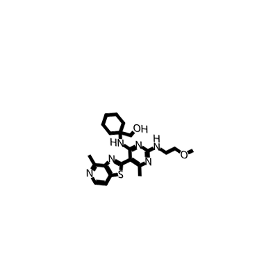 COCCNc1nc(C)c(-c2nc3c(C)nccc3s2)c(NC2(CO)CCCCC2)n1